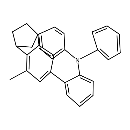 Cc1cc(-c2ccccc2N(c2ccccc2)c2ccccc2)cc2c1C1CCC2C1